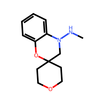 CNN1CC2(CCOCC2)Oc2ccccc21